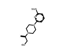 C=C(CC(C)(C)C)N1CCN(c2cccc(NC)n2)CC1